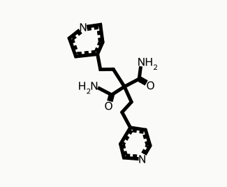 NC(=O)C(CCc1ccncc1)(CCc1ccncc1)C(N)=O